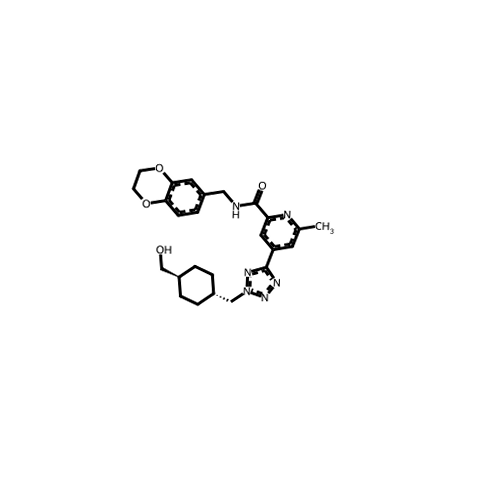 Cc1cc(-c2nnn(C[C@H]3CC[C@H](CO)CC3)n2)cc(C(=O)NCc2ccc3c(c2)OCCO3)n1